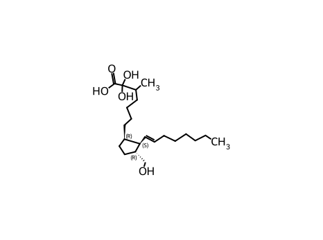 CCCCCCC=C[C@@H]1[C@H](CCCCC(C)C(O)(O)C(=O)O)CC[C@H]1CO